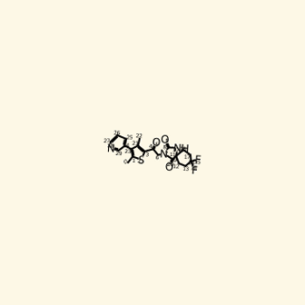 Cc1sc(C(=O)CN2C(=O)NC3(CCC(F)(F)CC3)C2=O)c(C)c1-c1cccnc1